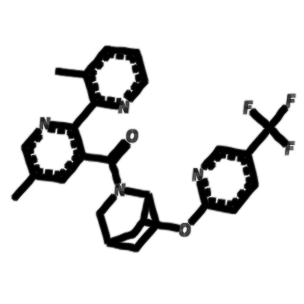 Cc1cnc(-c2ncccc2C)c(C(=O)N2CC3CCC2C(Oc2ccc(C(F)(F)F)cn2)C3)c1